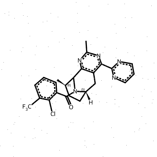 Cc1nc(-c2ncccn2)c2c(n1)C1[C@H](C)CC[C@@H](C2)N1C(=O)c1cccc(C(F)(F)F)c1Cl